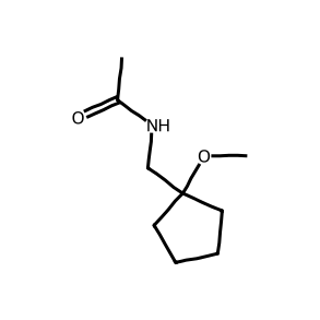 COC1(CNC(C)=O)CCCC1